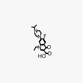 CCn1cc(C(=O)O)c(=O)c2cc(F)c(N3CCN(C(C)C)CC3)cc21